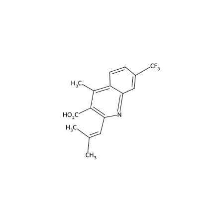 CC(C)=Cc1nc2cc(C(F)(F)F)ccc2c(C)c1C(=O)O